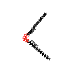 O=S(=O)([O-])[O-].O=S(=O)([O-])[O-].O=S(=O)([O-])[O-].[Al+3].[Al+3].[Al+3].[Al+3].[Al+3].[Al+3].[Al+3].[Al+3].[Al+3].[Al+3].[Al+3].[Al+3].[Al+3].[Al+3].[Al+3].[Al+3].[Al+3].[H-].[H-].[H-].[H-].[H-].[H-].[H-].[H-].[H-].[H-].[H-].[H-].[H-].[H-].[H-].[H-].[H-].[H-].[H-].[H-].[H-].[H-].[H-].[H-].[H-].[H-].[H-].[H-].[H-].[H-].[H-].[H-].[H-].[H-].[H-].[H-].[H-].[H-].[H-].[H-].[H-].[H-].[H-].[H-].[H-]